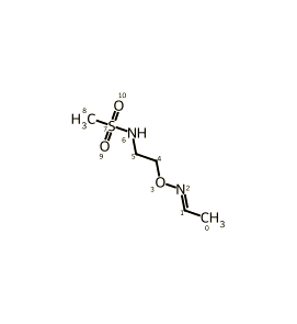 C/C=N/OCCNS(C)(=O)=O